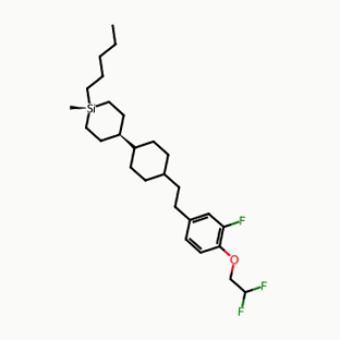 CCCCC[Si@]1(C)CC[C@@H](C2CCC(CCc3ccc(OCC(F)F)c(F)c3)CC2)CC1